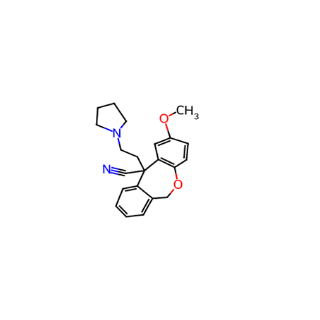 COc1ccc2c(c1)C(C#N)(CCN1CCCC1)c1ccccc1CO2